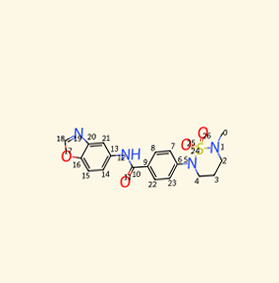 CN1CCCN(c2ccc(C(=O)Nc3ccc4ocnc4c3)cc2)S1(=O)=O